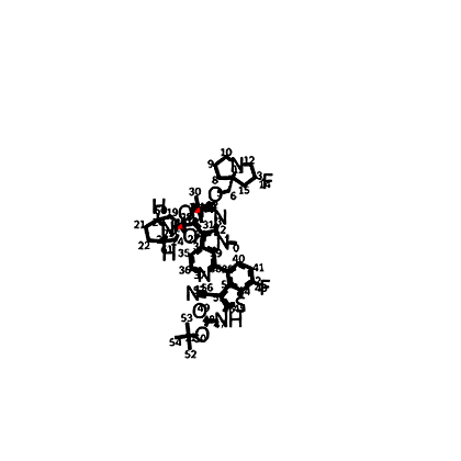 Cn1c2nc(OC[C@@]34CCCN3C[C@H](F)C4)nc(N3C[C@H]4CC[C@@H](C3)N4C(=O)OC(C)(C)C)c2c2ccnc(-c3ccc(F)c4sc(NC(=O)OC(C)(C)C)c(C#N)c34)c21